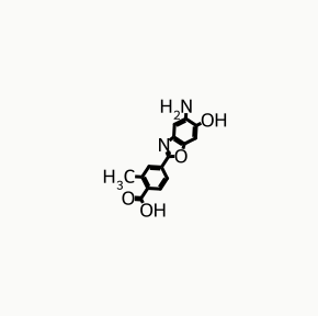 Cc1cc(-c2nc3cc(N)c(O)cc3o2)ccc1C(=O)O